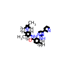 [2H]c1c(C)c([2H])c(-n2c([2H])cc(C)c2[2H])c([2H])c1NC(=O)c1ccc(C([2H])([2H])[2H])c(Nc2nccc(-c3cccnc3)n2)c1